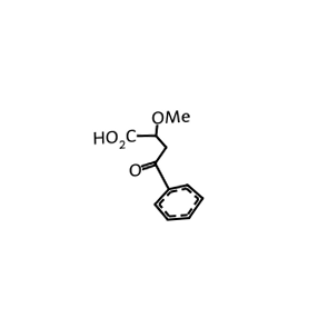 COC(CC(=O)c1ccccc1)C(=O)O